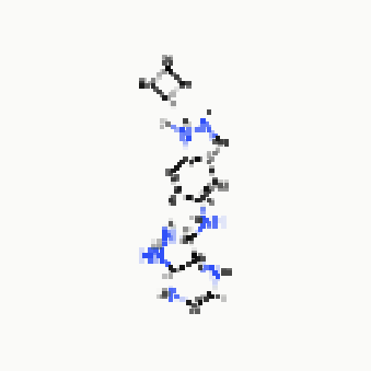 C1=CC2C(C=NN2CC2CCC2)C=C1Nc1n[nH]c2nccnc12